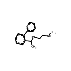 CNCCNC(C)c1ccccc1-c1ccccn1